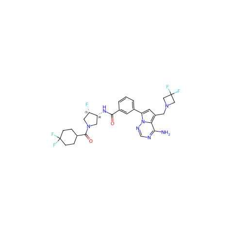 Nc1ncnn2c(-c3cccc(C(=O)N[C@@H]4CN(C(=O)C5CCC(F)(F)CC5)C[C@@H]4F)c3)cc(CN3CC(F)(F)C3)c12